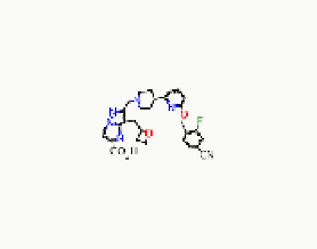 N#Cc1ccc(COc2cccc(C3CCN(Cc4nn5ccc(C(=O)O)nc5c4CC4CCO4)CC3)n2)c(F)c1